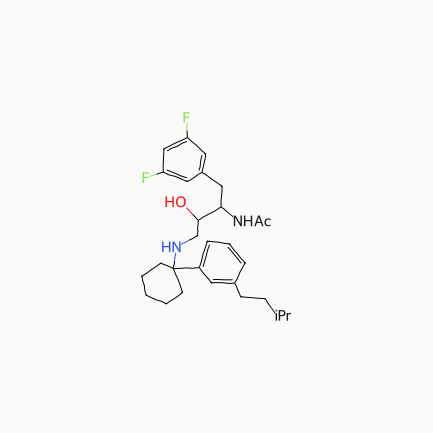 CC(=O)NC(Cc1cc(F)cc(F)c1)C(O)CNC1(c2cccc(CCC(C)C)c2)CCCCC1